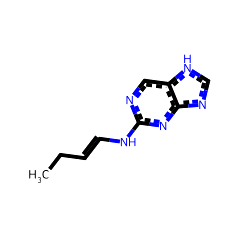 CCC=CNc1ncc2[nH]cnc2n1